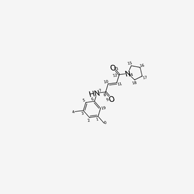 Cc1cc(C)cc(NC(=O)C=CC(=O)N2CCCC2)c1